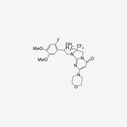 COc1cc(F)c(C(O)CN2c3nc(N4CCOCC4)cc(=O)n3CC2(C)C(F)(F)F)cc1OC